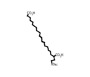 CCCCCCCCCCCC[C](CCCCCCCCCCCCCCCCCC(=O)O)C(=O)O